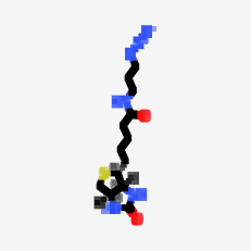 [N-]=[N+]=NCCCNC(=O)CCCC[C@H]1SC[C@@H]2NC(=O)N[C@@H]21